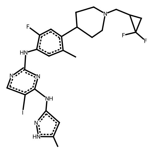 Cc1cc(Nc2nc(Nc3cc(C)c(C4CCN(CC5CC5(F)F)CC4)cc3F)ncc2I)n[nH]1